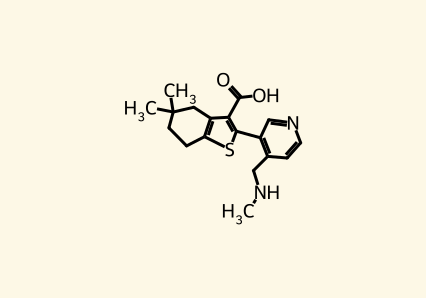 CNCc1ccncc1-c1sc2c(c1C(=O)O)CC(C)(C)CC2